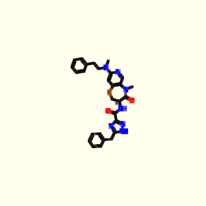 CN(CCc1ccccc1)c1cc2c(cn1)N(C)C(=O)[C@@H](NC(=O)c1n[nH]c(Cc3ccccc3)n1)CS2